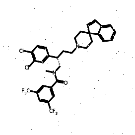 CN(C[C@@H](CCN1CCC2(C=Cc3ccccc32)CC1)c1ccc(Cl)c(Cl)c1)C(=O)c1cc(C(F)(F)F)cc(C(F)(F)F)c1